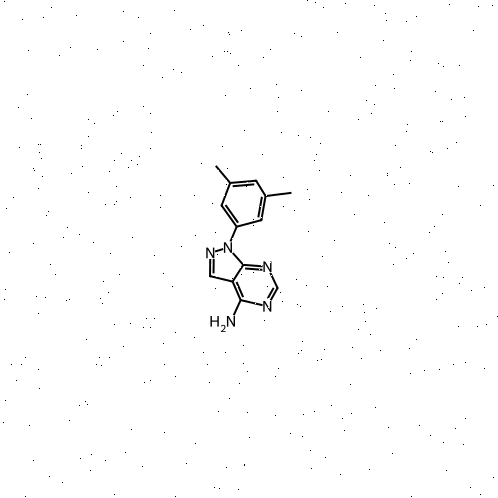 Cc1cc(C)cc(-n2ncc3c(N)ncnc32)c1